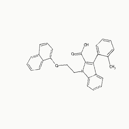 Cc1ccccc1-c1c(C(=O)O)n(CCOc2cccc3ccccc23)c2ccccc12